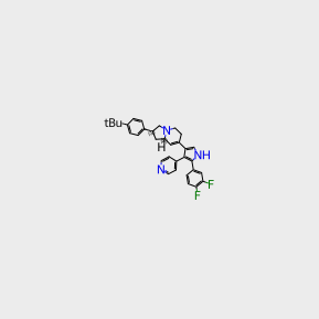 CC(C)(C)c1ccc([C@@H]2C[C@H]3C=C(c4c[nH]c(-c5ccc(F)c(F)c5)c4-c4ccncc4)CCN3C2)cc1